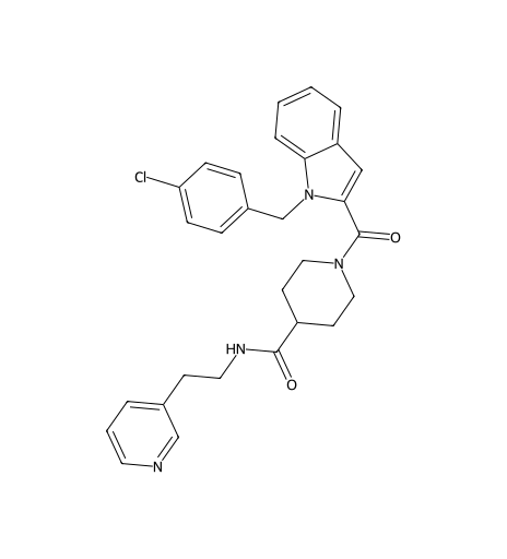 O=C(NCCc1cccnc1)C1CCN(C(=O)c2cc3ccccc3n2Cc2ccc(Cl)cc2)CC1